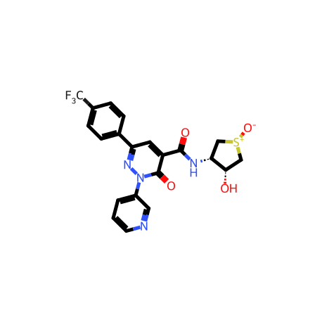 O=C(N[C@@H]1C[S+]([O-])C[C@@H]1O)c1cc(-c2ccc(C(F)(F)F)cc2)nn(-c2cccnc2)c1=O